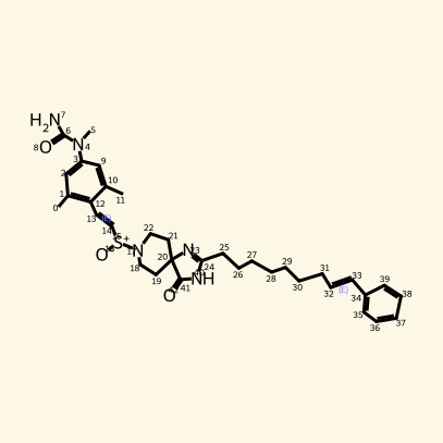 Cc1cc(N(C)C(N)=O)cc(C)c1/C=C/[S+]([O-])N1CCC2(CC1)N=C(CCCCCCC/C=C/c1ccccc1)NC2=O